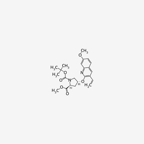 C=Cc1cc2ccc(OC)cc2nc1O[C@@H]1C[C@@H](C(=O)OC)N(C(=O)OC(C)(C)C)C1